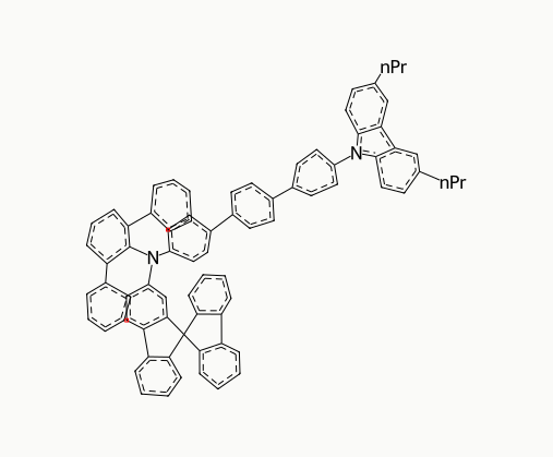 CCCc1ccc2c(c1)c1cc(CCC)ccc1n2-c1ccc(-c2ccc(-c3ccc(N(c4ccc5c(c4)C4(c6ccccc6-c6ccccc64)c4ccccc4-5)c4c(-c5ccccc5)cccc4-c4ccccc4)cc3)cc2)cc1